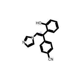 N#Cc1ccc(/C(=C\n2ccnc2)c2ccccc2O)cc1